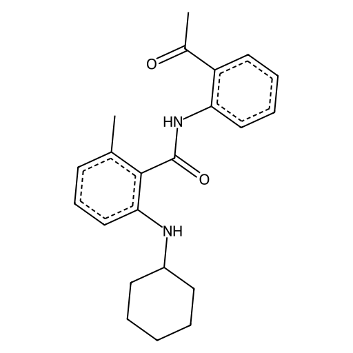 CC(=O)c1ccccc1NC(=O)c1c(C)cccc1NC1CCCCC1